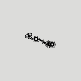 CS(=O)(=O)OCCc1ccc(CCCCCCS(=O)(=O)c2ccccc2)cc1